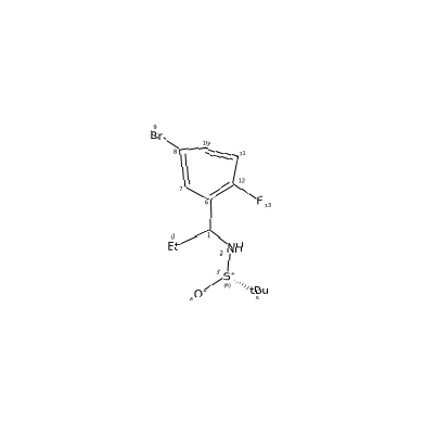 CCC(N[S@@+]([O-])C(C)(C)C)c1cc(Br)ccc1F